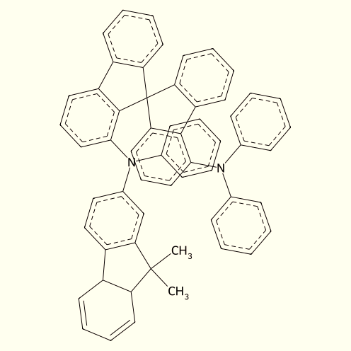 CC1(C)c2cc(N(c3ccccc3)c3cccc4c3C3(c5ccccc5-4)c4ccccc4-c4c(N(c5ccccc5)c5ccccc5)cccc43)ccc2C2C=CC=CC21